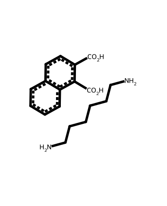 NCCCCCCN.O=C(O)c1ccc2ccccc2c1C(=O)O